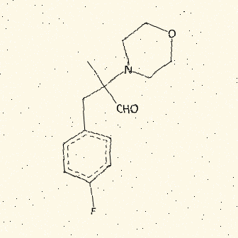 CC(C=O)(Cc1ccc(F)cc1)N1CCOCC1